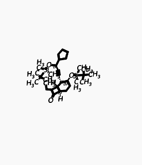 CCC1C(=O)[C@@H]2CC[C@H](O[Si](C)(C)C(C)(C)C)[C@@H](C#C[C@@H](O[Si](C)(C)C(C)(C)C)C3CCCC3)[C@H]12